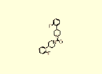 O=C(N1CCC(c2ccccc2F)CC1)N1CCC(c2ccccc2F)CC1